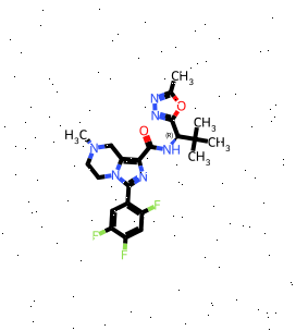 Cc1nnc([C@H](NC(=O)c2nc(-c3cc(F)c(F)cc3F)n3c2CN(C)CC3)C(C)(C)C)o1